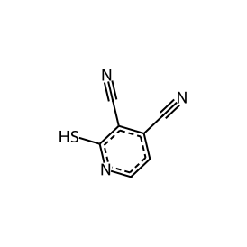 N#Cc1ccnc(S)c1C#N